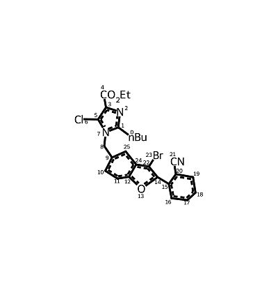 CCCCc1nc(C(=O)OCC)c(Cl)n1Cc1ccc2oc(-c3ccccc3C#N)c(Br)c2c1